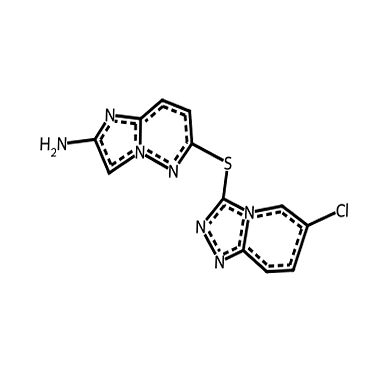 Nc1cn2nc(Sc3nnc4ccc(Cl)cn34)ccc2n1